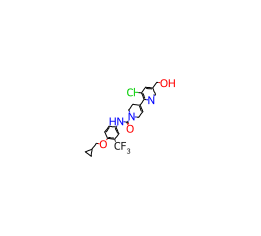 O=C(Nc1ccc(OCC2CC2)c(C(F)(F)F)c1)N1CC=C(c2ncc(CO)cc2Cl)CC1